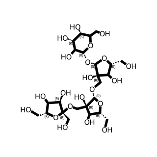 OCC1O[C@H](O[C@@H]2O[C@H](CO)C(O)[C@]2(O)CO[C@@H]2O[C@H](CO)C(O)[C@]2(O)CO[C@]2(CO)O[C@H](CO)C(O)[C@H]2O)C(O)[C@H](O)[C@@H]1O